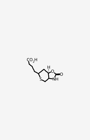 O=C(O)CCCC1C[C@H]2OC(=O)NC2CS1